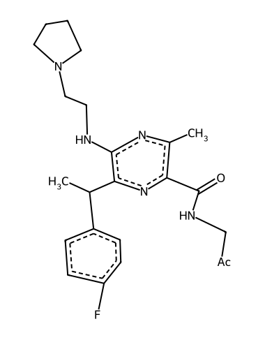 CC(=O)CNC(=O)c1nc(C(C)c2ccc(F)cc2)c(NCCN2CCCC2)nc1C